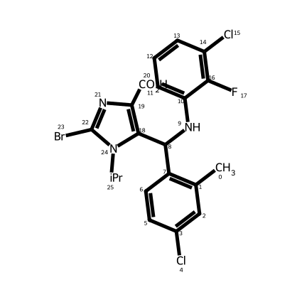 Cc1cc(Cl)ccc1C(Nc1cccc(Cl)c1F)c1c(C(=O)O)nc(Br)n1C(C)C